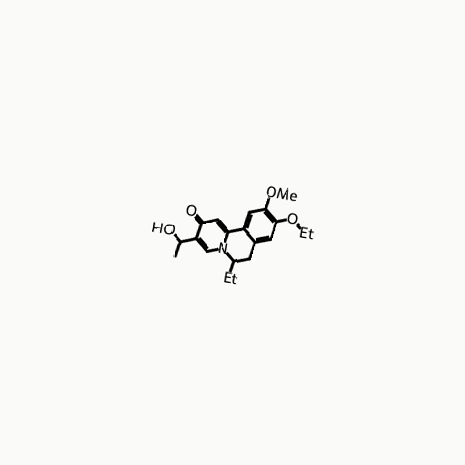 CCOc1cc2c(cc1OC)-c1cc(=O)c(C(C)O)cn1C(CC)C2